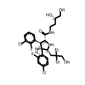 CCC(CC)(CO)C[C@@H]1N[C@@H](C(=O)NCC[C@H](O)CO)[C@H](c2cccc(Cl)c2F)[C@@]1(N)c1ccc(Cl)cc1F